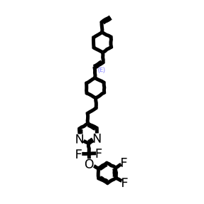 C=CC1CCC(/C=C/C2CCC(CCc3cnc(C(F)(F)Oc4ccc(F)c(F)c4)nc3)CC2)CC1